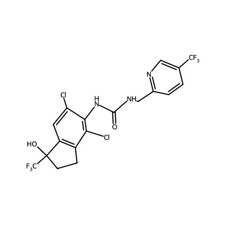 O=C(NCc1ccc(C(F)(F)F)cn1)Nc1c(Cl)cc2c(c1Cl)CCC2(O)C(F)(F)F